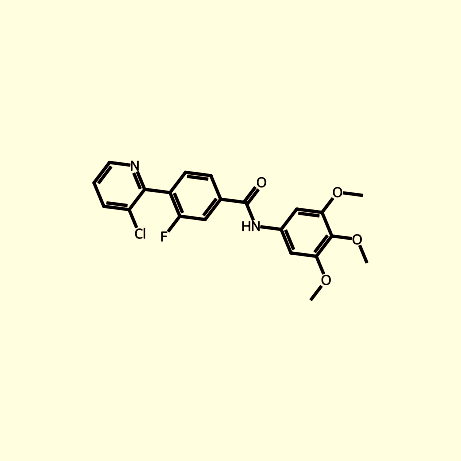 COc1cc(NC(=O)c2ccc(-c3ncccc3Cl)c(F)c2)cc(OC)c1OC